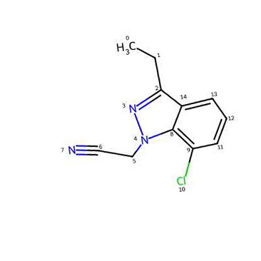 CCc1nn(CC#N)c2c(Cl)cccc12